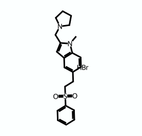 Br.Cn1c(CN2CCCC2)cc2cc(CCS(=O)(=O)c3ccccc3)ccc21